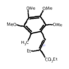 CCOC(=O)/C(=C/c1c(C)c(OC)c(OC)c(OC)c1OC)CC